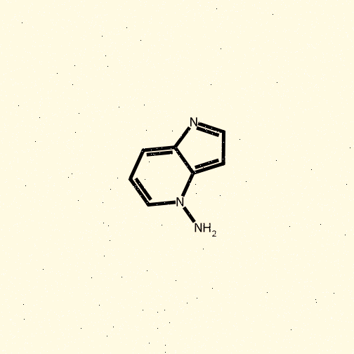 Nn1cccc2nccc1-2